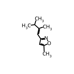 C/C(=C\c1cc(C)on1)C(C)C